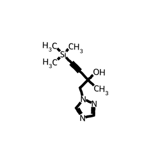 CC(O)(C#C[Si](C)(C)C)Cn1cncn1